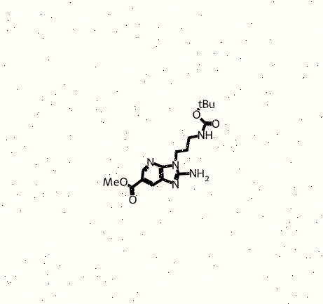 COC(=O)c1cnc2c(c1)nc(N)n2CCCNC(=O)OC(C)(C)C